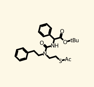 CC(=O)SCCN(CCc1ccccc1)C(=O)NC(C(=O)OC(C)(C)C)c1ccccc1